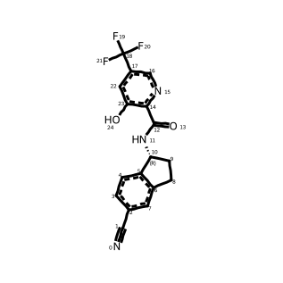 N#Cc1ccc2c(c1)CC[C@H]2NC(=O)c1ncc(C(F)(F)F)cc1O